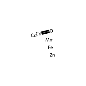 [Co].[Fe].[Mn].[O]=[Cd].[Zn]